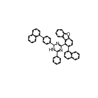 c1ccc(C2=NC(c3c(-c4cccc5ccccc45)ccc4oc5ccccc5c34)=NC(c3ccc(-c4cccc5ccccc45)cc3)N2)cc1